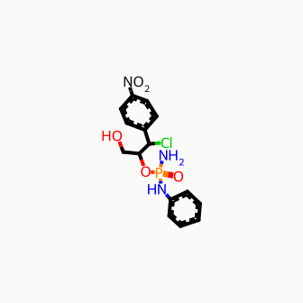 NP(=O)(Nc1ccccc1)OC(CO)C(Cl)c1ccc([N+](=O)[O-])cc1